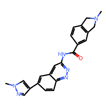 CN1Cc2ccc(C(=O)Nc3cc4cc(-c5cnn(C)c5)ccc4nn3)cc2C1